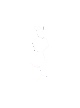 CN(C)C(=O)Oc1ccc(C(=O)O)cc1